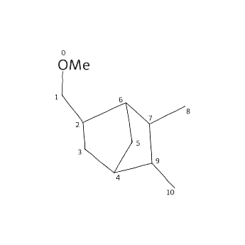 COCC1CC2CC1C(C)C2C